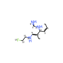 C/C=C\C(NC=N)/C(C)=C/NCCF